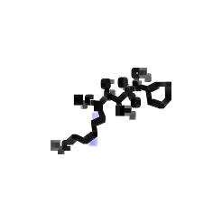 C=C/C=C\C=C\N(C)[S+]([O-])C(N)S(=O)(=O)N(C)c1ccccc1